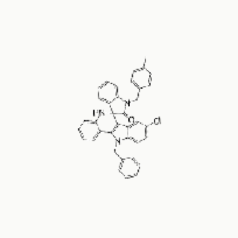 Cc1ccc(CN2C(=O)C3(Nc4ccccc4-c4c3c3cc(Cl)ccc3n4Cc3ccccc3)c3ccccc32)cc1